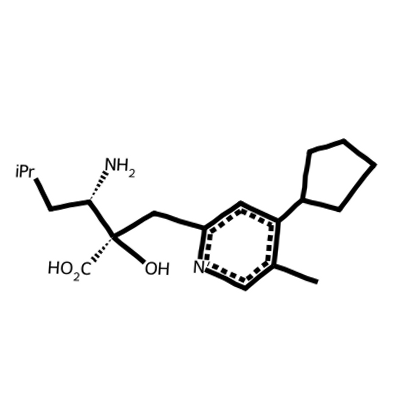 Cc1cnc(C[C@](O)(C(=O)O)[C@@H](N)CC(C)C)cc1C1CCCC1